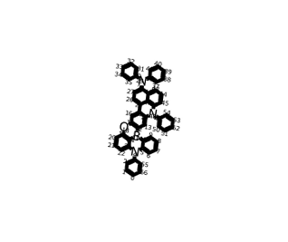 c1ccc(N2c3ccccc3B3c4cc5c(cc4Oc4cccc2c43)-c2ccc(N(c3ccccc3)c3ccccc3)c3cccc(c23)N5c2ccccc2)cc1